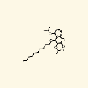 CCCCCCCCCCOc1c(OC(C)=O)c(=O)oc2cccc(OC(C)C)c12